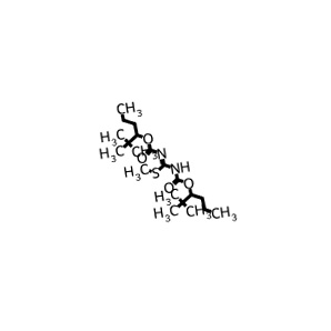 CCCC(OC(=O)/N=C(/NC(=O)OC(CCC)C(C)(C)C)SC)C(C)(C)C